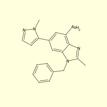 Cc1nc2c([AsH2])cc(-c3ccnn3C)cc2n1Cc1ccccc1